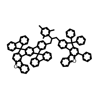 Cc1cc(C)c(C(Cc2ccc3c(c2)C(c2ccccc2)(c2ccccc2)c2cc(-c4ccccc4)c4oc5ccccc5c4c2-3)Cc2ccc3c(c2)C2(c4ccccc4-c4ccccc42)c2cc4c(cc2-3)C2(c3ccccc3-c3ccccc32)c2ccc3oc5ccccc5c3c2-4)c(C)c1